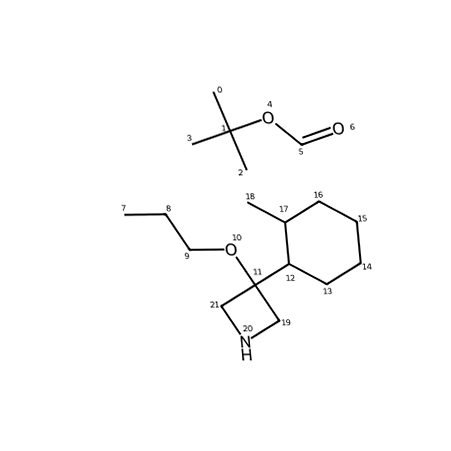 CC(C)(C)OC=O.CCCOC1(C2CCCCC2C)CNC1